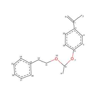 C=C(C)c1ccc(OC(C)OCCc2ccccc2)cc1